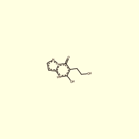 O=c1c(CCO)c(O)[nH]c2ccnn12